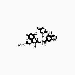 COC(=O)C[C@H](NC(=O)CNC(=O)c1cc(NC2=NCC(F)CN2)c2cn[nH]c2c1)c1cc(Cl)cc(I)c1